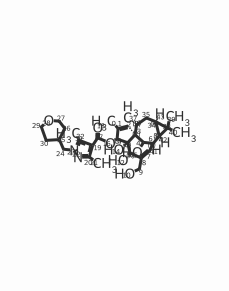 CC1=C[C@]23C(O)[C@@H](C=C(CO)[C@@H](O)[C@]2(O)[C@H]1OC(=O)c1c(C)nn(CC2CCOCC2)c1C)[C@H]1[C@@H](C[C@H]3C)C1(C)C